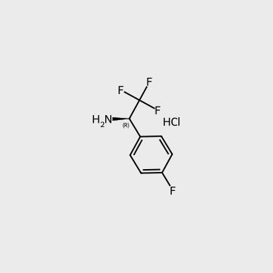 Cl.N[C@H](c1ccc(F)cc1)C(F)(F)F